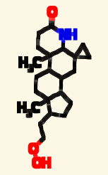 CC12CCC3C(CC4(CC4)C4NC(=O)CCC34C)C1CCC2CCOO